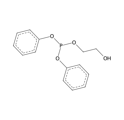 OCCOP(Oc1ccccc1)Oc1ccccc1